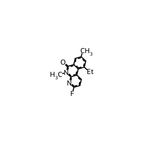 [CH2]Cc1cc(C)cc2c(=O)n(C)c3nc(F)ccc3c12